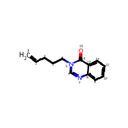 C=CCCCn1cnc2ccccc2c1=O